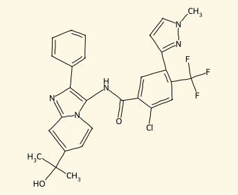 Cn1ccc(-c2cc(C(=O)Nc3c(-c4ccccc4)nc4cc(C(C)(C)O)ccn34)c(Cl)cc2C(F)(F)F)n1